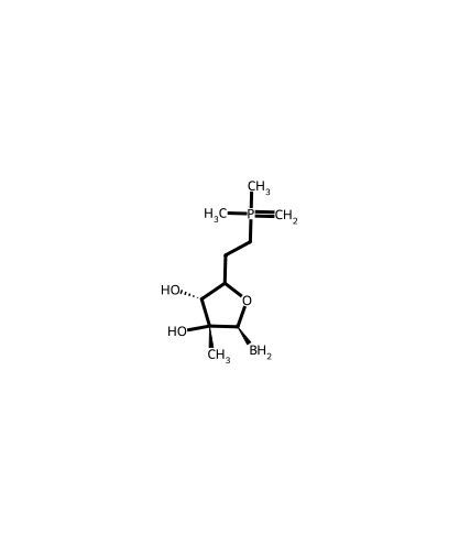 B[C@@H]1OC(CCP(=C)(C)C)[C@@H](O)[C@@]1(C)O